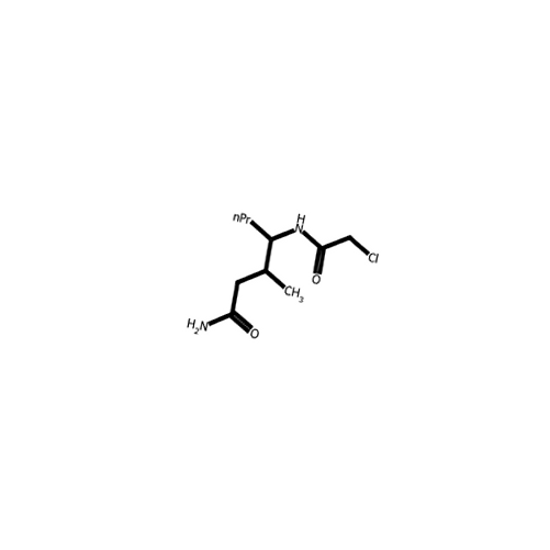 CCCC(NC(=O)CCl)C(C)CC(N)=O